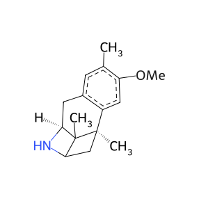 COc1cc2c(cc1C)C[C@@H]1NC3C[C@@]2(C)C31C